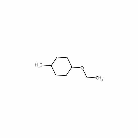 C[CH]OC1CCC(C)CC1